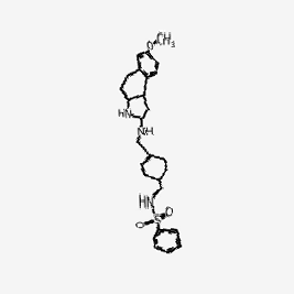 COc1ccc2c(c1)CCC1NC(NCC3CCC(CNS(=O)(=O)c4ccccc4)CC3)CC21